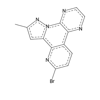 Cc1cc2c3nc(Br)ccc3c3nccnc3n2n1